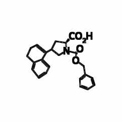 O=C(O)[C@@H]1CC(C2=CCCc3ccccc32)CN1C(=O)OCc1ccccc1